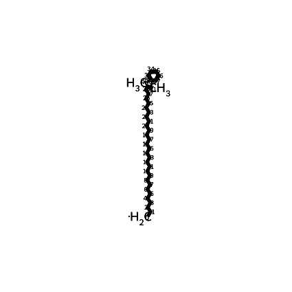 [CH2]CCCCCCCCCCCCCCCCCCCCCCCCCCCC[Si](C)(C)c1ccccc1